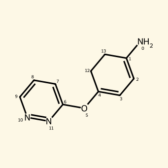 NC1=CC=C(Oc2cccnn2)CC1